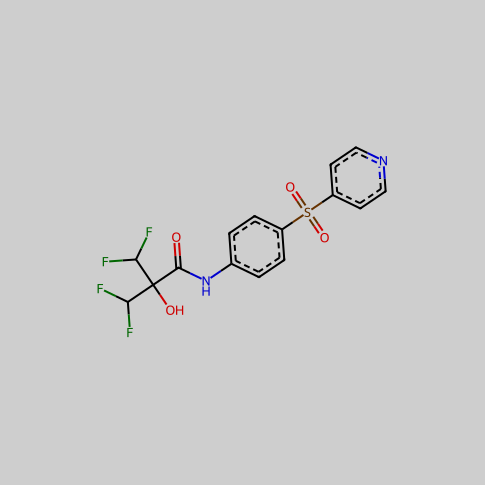 O=C(Nc1ccc(S(=O)(=O)c2ccncc2)cc1)C(O)(C(F)F)C(F)F